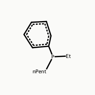 CCCCCP(CC)c1ccccc1